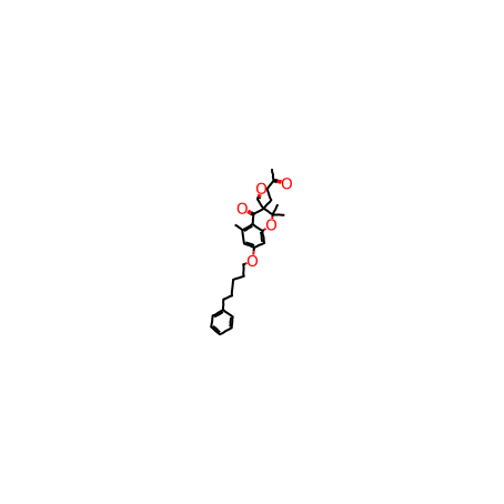 CC(=O)CCC1(C=O)C(=O)c2c(C)cc(OCCCCCc3ccccc3)cc2OC1(C)C